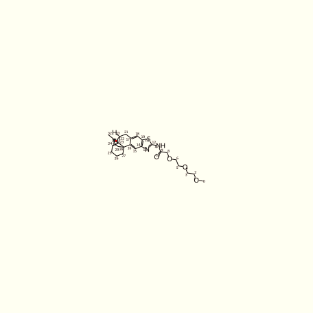 COCCOCCOCC(=O)Nc1nc2cc3c(cc2s1)C[C@@H]1[C@@H]2CCCCC32CCN1C